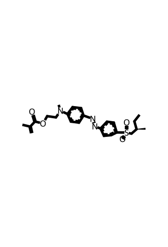 C=C(C)C(=O)OCCN(C)c1ccc(/N=N/c2ccc(S(=O)(=O)C[C@H](C)CC)cc2)cc1